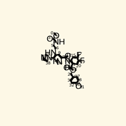 COC(=O)NCCNc1cc(C(=O)Nc2cc(F)c(F)cc2C(=O)OCc2ccc(OC)cc2)nnc1-n1ccnc1